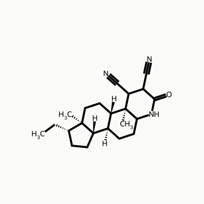 CC[C@H]1CC[C@H]2[C@@H]3CCC4NC(=O)C(C#N)C(C#N)[C@]4(C)[C@H]3CC[C@]12C